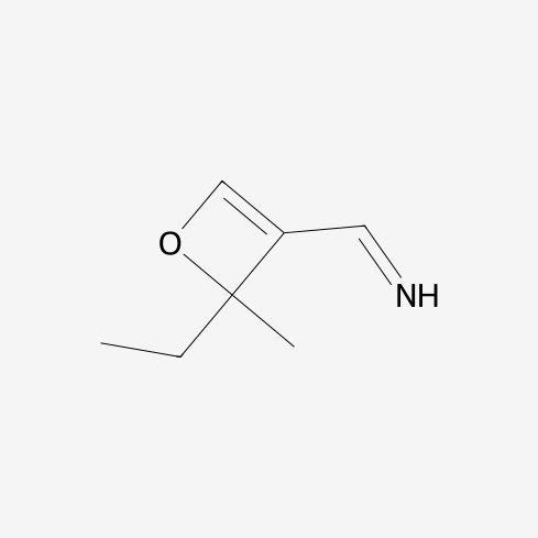 CCC1(C)OC=C1C=N